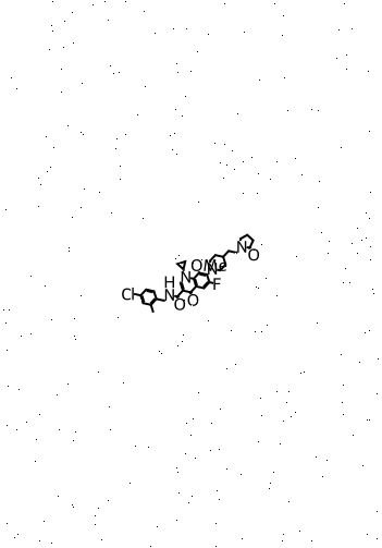 COc1c(N2CCC(CCN3CCCC3=O)CC2)c(F)cc2c(=O)c(C(=O)NCc3ccc(Cl)cc3C)cn(C3CC3)c12